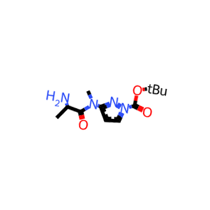 CC(N)C(=O)N(C)c1ccn(C(=O)OC(C)(C)C)n1